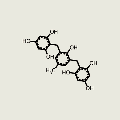 Cc1cc(Cc2c(O)cc(O)cc2O)c(O)c(Cc2c(O)cc(O)cc2O)c1